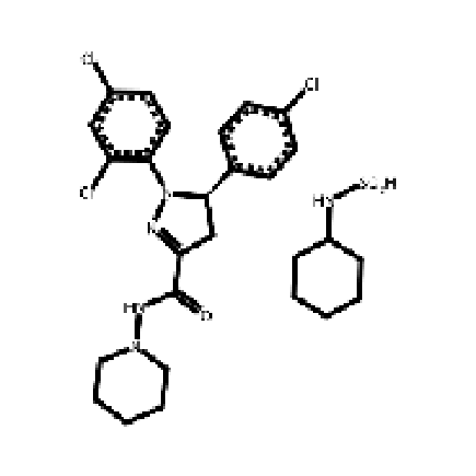 O=C(NN1CCCCC1)C1=NN(c2ccc(Cl)cc2Cl)[C@@H](c2ccc(Cl)cc2)C1.O=S(=O)(O)NC1CCCCC1